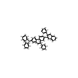 c1ccc(-c2cc3ccccc3cc2-c2ccc3c(c2)c(-c2ccccc2)cc2cc(-n4c5ccccc5c5ccccc54)ccc23)cc1